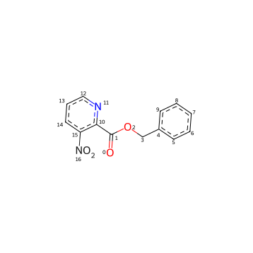 O=C(OCc1ccccc1)c1ncccc1[N+](=O)[O-]